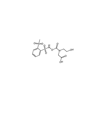 CS(=O)(=O)c1ccccc1S(=O)(=O)NOC(=O)N(CCO)CC(=O)O